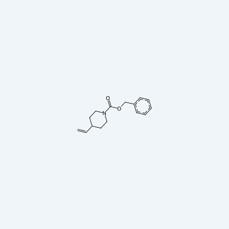 C=CC1CCN(C(=O)OCc2ccccc2)CC1